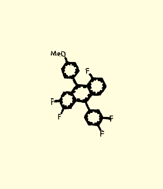 COc1ccc(-c2c3cc(F)c(F)cc3c(-c3ccc(F)c(F)c3)c3cccc(F)c23)cc1